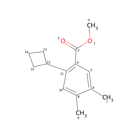 COC(=O)c1cc(C)c(C)cc1C1CCC1